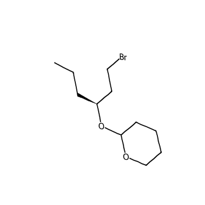 CCC[C@@H](CCBr)OC1CCCCO1